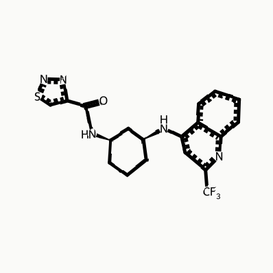 O=C(N[C@@H]1CCC[C@H](Nc2cc(C(F)(F)F)nc3ccccc23)C1)c1csnn1